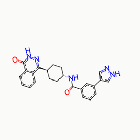 O=C(N[C@H]1CC[C@H](c2n[nH]c(=O)c3ccccc32)CC1)c1cccc(-c2cn[nH]c2)c1